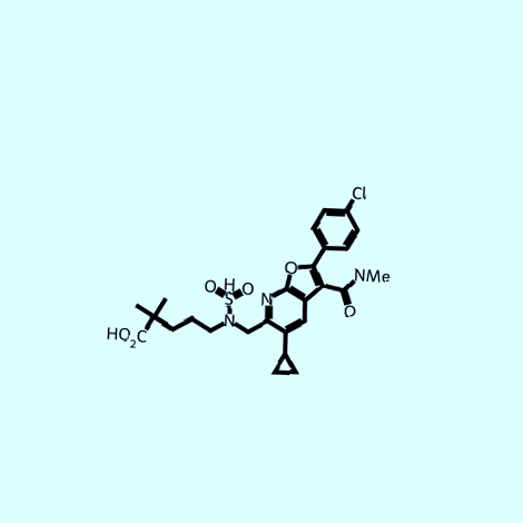 CNC(=O)c1c(-c2ccc(Cl)cc2)oc2nc(CN(CCCC(C)(C)C(=O)O)[SH](=O)=O)c(C3CC3)cc12